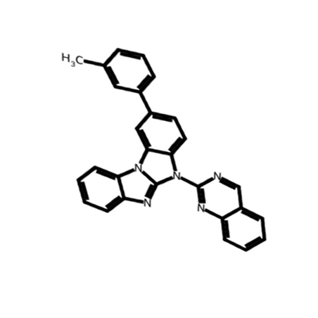 Cc1cccc(-c2ccc3c(c2)n2c4ccccc4nc2n3-c2ncc3ccccc3n2)c1